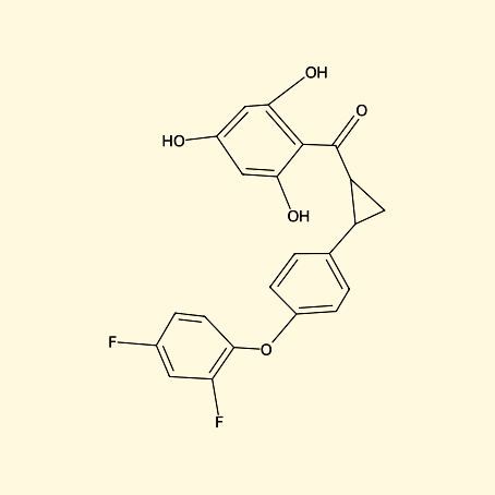 O=C(c1c(O)cc(O)cc1O)C1CC1c1ccc(Oc2ccc(F)cc2F)cc1